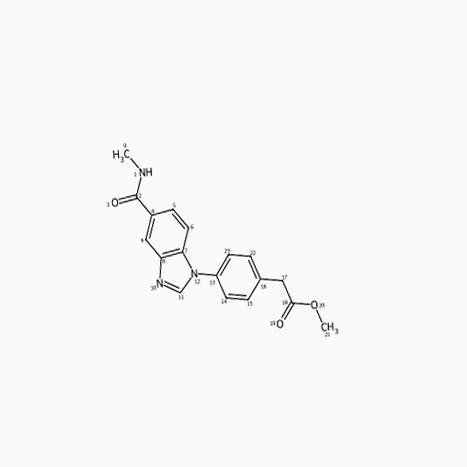 CNC(=O)c1ccc2c(c1)ncn2-c1ccc(CC(=O)OC)cc1